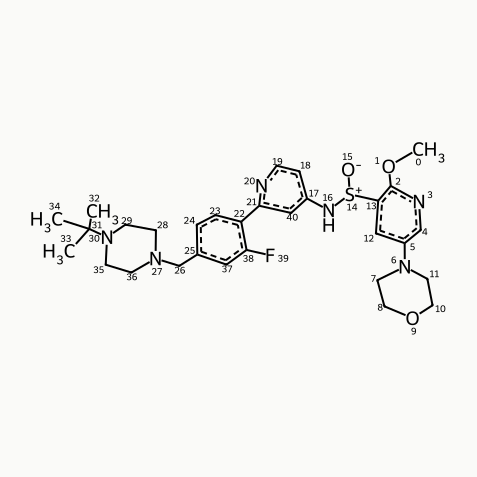 COc1ncc(N2CCOCC2)cc1[S+]([O-])Nc1ccnc(-c2ccc(CN3CCN(C(C)(C)C)CC3)cc2F)c1